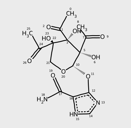 CC(=O)[C@@]1(O)[C@@](O)(C(C)=O)[C@H](Oc2nc[nH]c2C(N)=O)OC[C@]1(O)C(C)=O